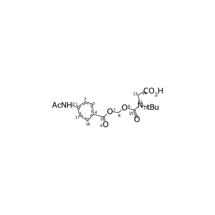 CC(=O)Nc1ccc(C(=O)OCOC(=O)N(CC(=O)O)C(C)(C)C)cc1